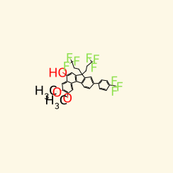 COc1cc2c(O)cc3c(c2cc1OC)-c1ccc(-c2ccc(C(F)(F)F)cc2)cc1C3(CCC(F)(F)F)CCC(F)(F)F